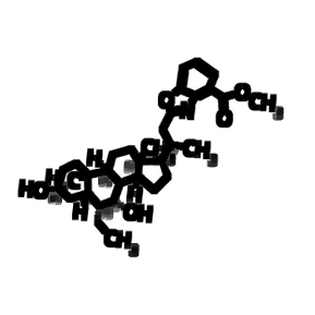 CC[C@H]1[C@@H](O)C2[C@H](CC[C@]3(C)[C@@H]([C@H](C)Cc4nc5c(C(=O)OC)cccc5o4)CC[C@@H]23)C2(C)CC[C@@H](O)C[C@@H]12